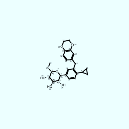 CS[C@H]1O[C@@H](c2ccc(C3CC3)c(Cc3ccc4c(c3)OCCO4)c2)[C@H](O)[C@@H](O)[C@@H]1O